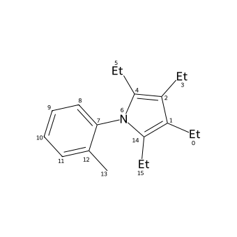 CCc1c(CC)c(CC)n(-c2ccccc2C)c1CC